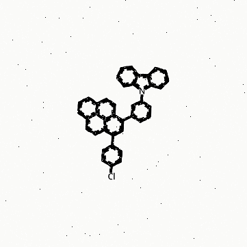 Clc1ccc(-c2cc(-c3cccc(-n4c5ccccc5c5ccccc54)c3)c3ccc4cccc5ccc2c3c54)cc1